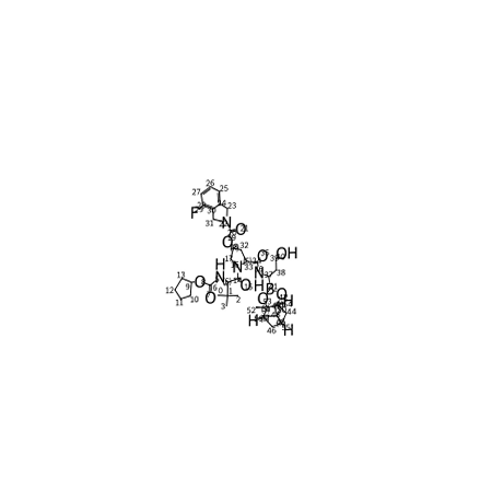 CC(C)(C)[C@H](NC(=O)OC1CCCC1)C(=O)N1C[C@H](OC(=O)N2Cc3cccc(F)c3C2)C[C@H]1C(=O)NC(CCO)B1O[C@@H]2C[C@@H]3C[C@@H](C3(C)C)[C@]2(C)O1